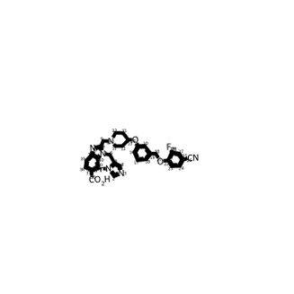 CC(C)n1cncc1Cn1c(CN2CCC(Oc3cccc(COc4ccc(C#N)cc4F)c3)CC2)nc2ccc(C(=O)O)cc21